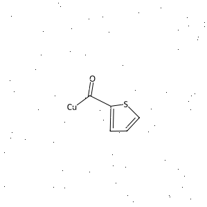 O=[C]([Cu])c1cccs1